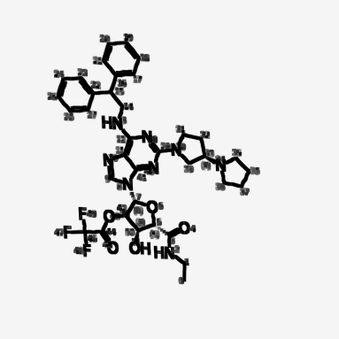 CCNC(=O)[C@H]1O[C@@H](n2cnc3c(NCC(c4ccccc4)c4ccccc4)nc(N4CC[C@@H](N5CCCC5)C4)nc32)[C@H](OC(=O)C(F)(F)F)[C@@H]1O